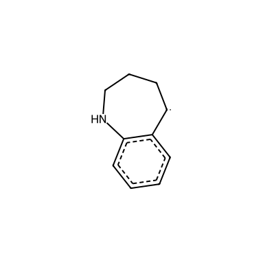 [CH]1CCCNc2ccccc21